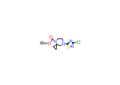 CC(C)(C)OC(=O)N1CCN(c2nc(Cl)ns2)CC12CC2